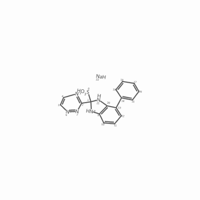 O=S(=O)(O)C1(c2nccnn2)Nc2cccc(-c3ccccc3)c2N1.[NaH]